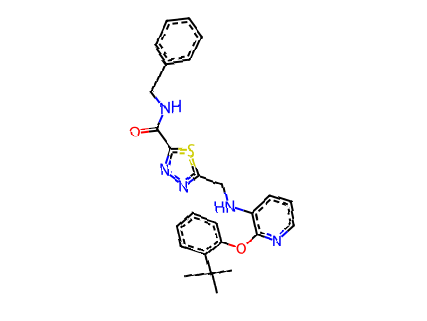 CC(C)(C)c1ccccc1Oc1ncccc1NCc1nnc(C(=O)NCc2ccccc2)s1